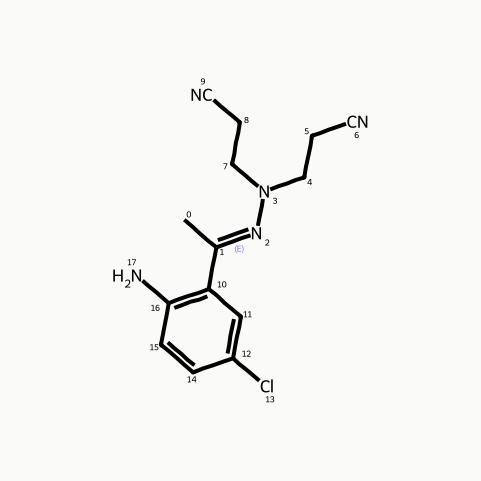 C/C(=N\N(CCC#N)CCC#N)c1cc(Cl)ccc1N